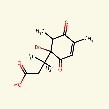 CC1=CC(=O)C(Br)(C(C)(C)CC(=O)O)C(C)C1=O